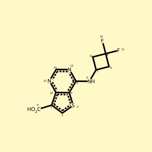 O=C(O)c1csc2c(NC3CC(F)(F)C3)ncnc12